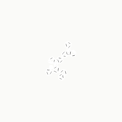 C1=Cc2c(n(-c3ccccc3)c3ccc(-c4ccc5c(c4)c4c(n5-c5cc(-c6cccc7ccccc67)cc6c5oc5ccccc56)CCC=C4)cc23)CC1